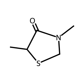 CC1SCN(C)C1=O